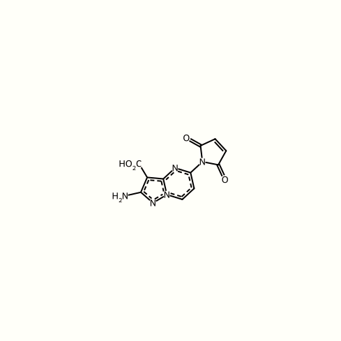 Nc1nn2ccc(N3C(=O)C=CC3=O)nc2c1C(=O)O